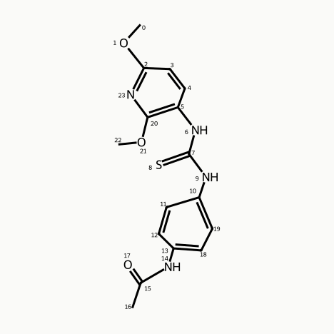 COc1ccc(NC(=S)Nc2ccc(NC(C)=O)cc2)c(OC)n1